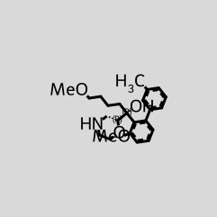 COCCCC[C@@](O)(c1c(OC)cccc1-c1cccc(C)c1)[C@H]1CNCCO1